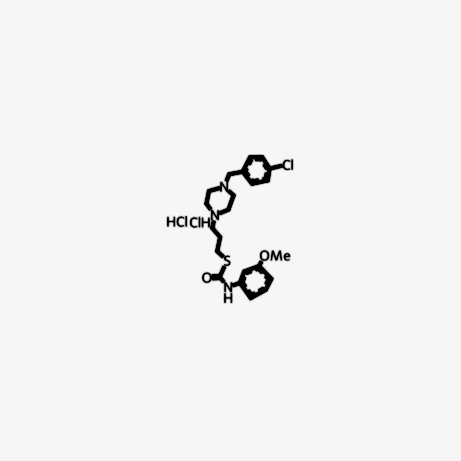 COc1cccc(NC(=O)SCCCN2CCN(Cc3ccc(Cl)cc3)CC2)c1.Cl.Cl